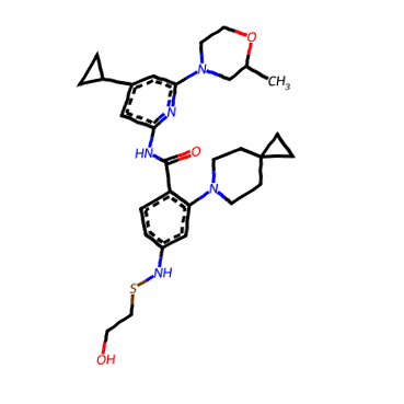 CC1CN(c2cc(C3CC3)cc(NC(=O)c3ccc(NSCCO)cc3N3CCC4(CC3)CC4)n2)CCO1